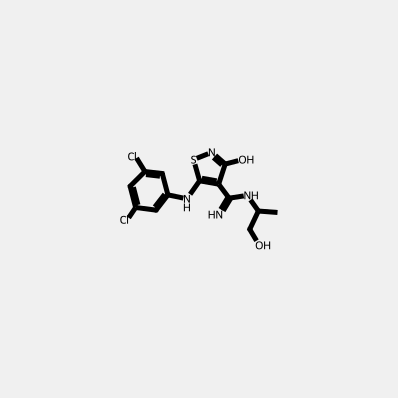 CC(CO)NC(=N)c1c(O)nsc1Nc1cc(Cl)cc(Cl)c1